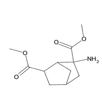 COC(=O)C1CC2CC1C(N)(C(=O)OC)C2